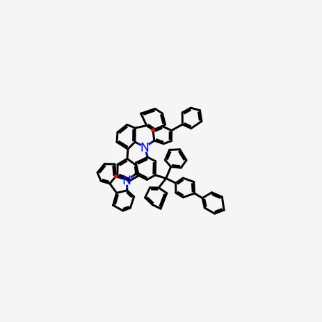 c1ccc(-c2ccc(N(c3cc(-n4c5ccccc5c5ccccc54)cc(C(c4ccccc4)(c4ccccc4)c4ccc(-c5ccccc5)cc4)c3)c3c(-c4ccccc4)cccc3-c3ccccc3)cc2)cc1